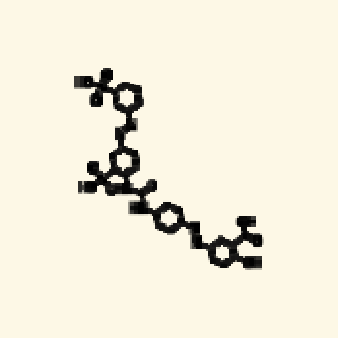 O=C(Nc1ccc(N=Nc2ccc(O)c(C(=O)O)c2)cc1)Nc1ccc(N=Nc2cccc(S(=O)(=O)O)c2)cc1S(=O)(=O)O